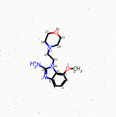 COc1cccc2nc(N)n(CCN3CCOCC3)c12